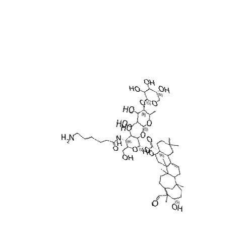 CC1O[C@@H](OC2C(O)[C@@H](NC(=O)CCCCCN)C(CO)O[C@H]2OC(=O)[C@]23CCC(C)(C)CC2C2=CCC4C5(C)CC[C@H](O)C(C)(C=O)C(CCC4(C)C2(C)CC3O)C5)C(CO)C(O)[C@H]1O[C@@H]1OC[C@@H](O)C(O)C1O